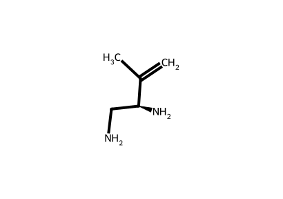 C=C(C)[C@@H](N)CN